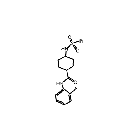 CC(C)S(=O)(=O)NC1CCC(C(=O)Nc2ccccc2F)CC1